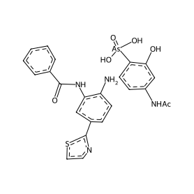 CC(=O)Nc1ccc([As](=O)(O)O)c(O)c1.Nc1ccc(-c2nccs2)cc1NC(=O)c1ccccc1